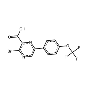 O=C(O)c1nc(-c2ccc(OC(F)(F)F)cc2)cnc1Br